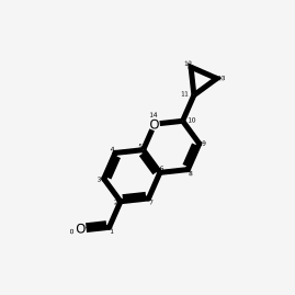 O=Cc1ccc2c(c1)C=CC(C1CC1)O2